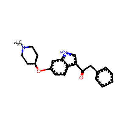 CN1CCC(Oc2ccc3c(C(=O)Cc4ccccc4)c[nH]c3c2)CC1